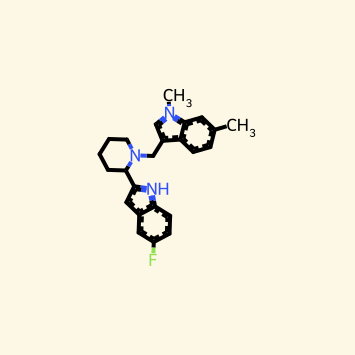 Cc1ccc2c(CN3CCCCC3c3cc4cc(F)ccc4[nH]3)cn(C)c2c1